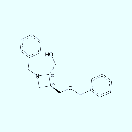 OC[C@@H]1[C@@H](COCc2ccccc2)CN1Cc1ccccc1